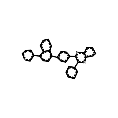 c1ccc(-c2nc3ccccc3nc2-c2ccc(-c3ccc(-c4cccnc4)c4ccccc34)cc2)cc1